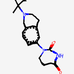 CC(C)(C)N1CCc2cc(N3CCC(=O)NC3=O)ccc2C1